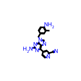 Cc1cc(Cn2cnc3c(-c4ccnc(C#N)c4)nc(N)nc32)ccc1N